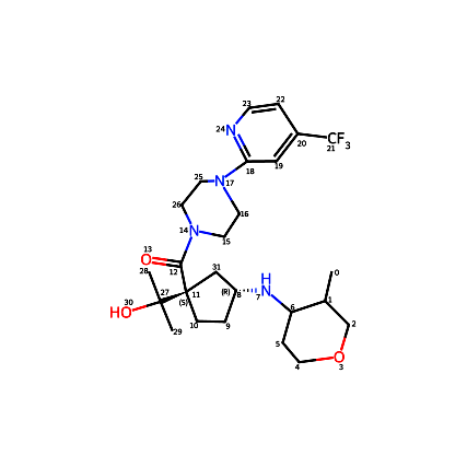 CC1COCCC1N[C@@H]1CC[C@@](C(=O)N2CCN(c3cc(C(F)(F)F)ccn3)CC2)(C(C)(C)O)C1